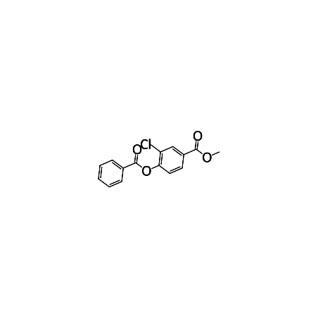 COC(=O)c1ccc(OC(=O)c2ccccc2)c(Cl)c1